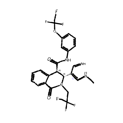 CN/C=C(\C=N)[C@H]1[C@H](C(=O)Nc2cccc(OC(F)(F)F)c2)c2ccccc2C(=O)N1CC(F)(F)F